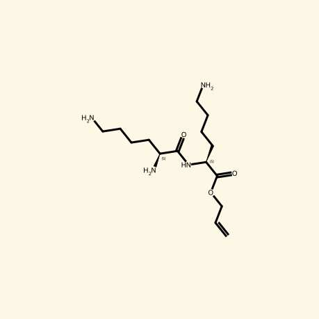 C=CCOC(=O)[C@H](CCCCN)NC(=O)[C@@H](N)CCCCN